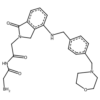 BCC(=O)NC(=O)CN1Cc2c(NCc3ccc(CN4CCOCC4)cc3)cccc2C1=O